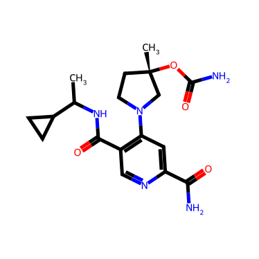 CC(NC(=O)c1cnc(C(N)=O)cc1N1CC[C@](C)(OC(N)=O)C1)C1CC1